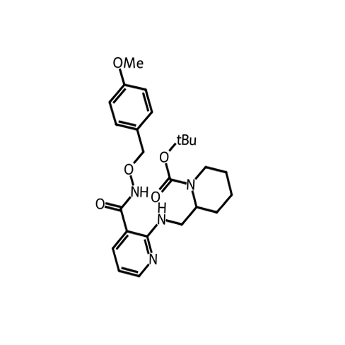 COc1ccc(CONC(=O)c2cccnc2NCC2CCCCN2C(=O)OC(C)(C)C)cc1